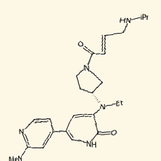 CCN(c1cc(-c2ccnc(NC)c2)c[nH]c1=O)[C@@H]1CCN(C(=O)/C=C/CNC(C)C)C1